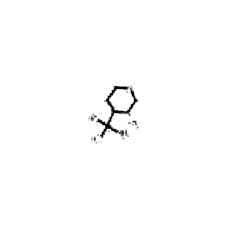 CC(N)(O)C1CCNCC1.Cl